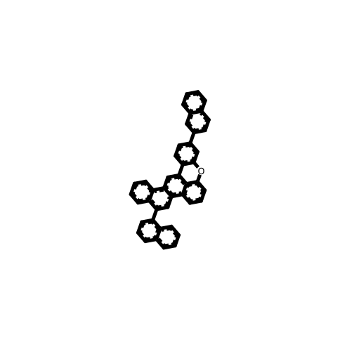 c1ccc2cc(-c3ccc4c(c3)Oc3cccc5c3c-4cc3c4ccccc4c(-c4cccc6ccccc46)cc53)ccc2c1